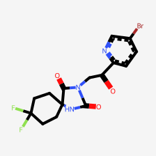 O=C(CN1C(=O)NC2(CCC(F)(F)CC2)C1=O)c1ccc(Br)cn1